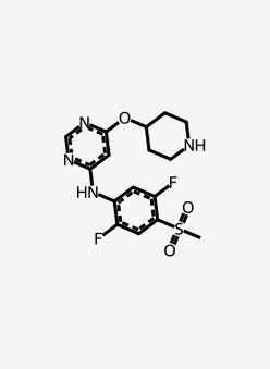 CS(=O)(=O)c1cc(F)c(Nc2cc(OC3CCNCC3)ncn2)cc1F